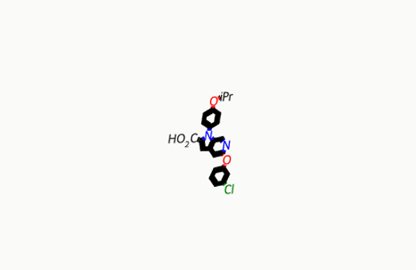 CC(C)Oc1ccc(-n2c(C(=O)O)cc3cc(Oc4cccc(Cl)c4)ncc32)cc1